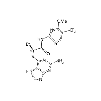 CC[C@H](Sc1nc(N)nc2nc[nH]c12)C(=O)Nc1ncc(C(F)(F)F)c(OC)n1